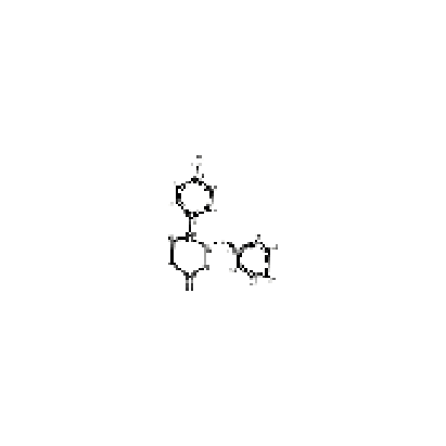 Clc1ccc(N2CCNC[C@H]2Cc2ccccc2)cc1